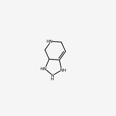 C1=C2NNNC2CNC1